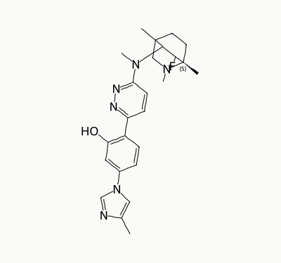 Cc1cn(-c2ccc(-c3ccc(N(C)C4C(F)[C@]5(C)CCC4(C)CN5C)nn3)c(O)c2)cn1